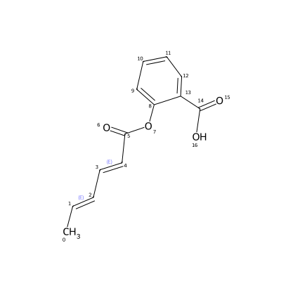 C/C=C/C=C/C(=O)Oc1ccccc1C(=O)O